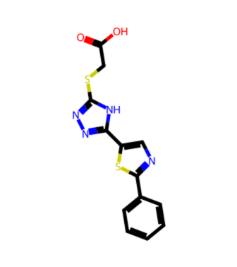 O=C(O)CSc1nnc(-c2cnc(-c3ccccc3)s2)[nH]1